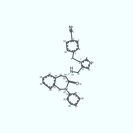 N#Cc1ccc(Cn2cncc2CN[C@H]2Cc3ccccc3CN(c3ccccc3)C2=O)cc1